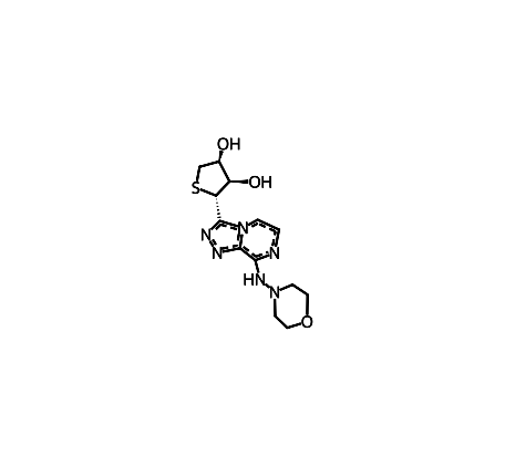 O[C@@H]1[C@H](O)CS[C@H]1c1nnc2c(NN3CCOCC3)nccn12